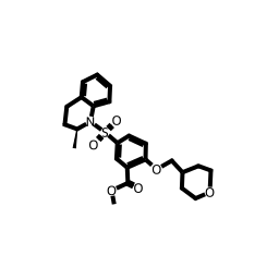 COC(=O)c1cc(S(=O)(=O)N2c3ccccc3CC[C@@H]2C)ccc1OCC1CCOCC1